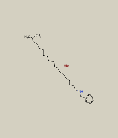 Br.CC(C)CCCCCCCCCCCCCCCCCNCc1ccccc1